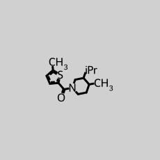 Cc1ccc(C(=O)N2CCC(C)C(C(C)C)C2)s1